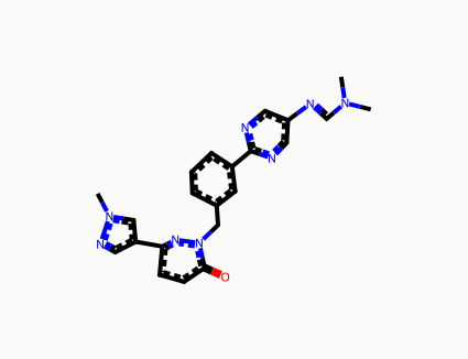 CN(C)C=Nc1cnc(-c2cccc(Cn3nc(-c4cnn(C)c4)ccc3=O)c2)nc1